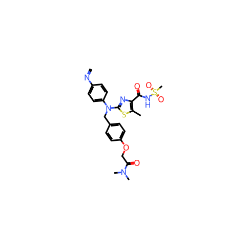 C=Nc1ccc(N(Cc2ccc(OCC(=O)N(C)C)cc2)c2nc(C(=O)NS(C)(=O)=O)c(C)s2)cc1